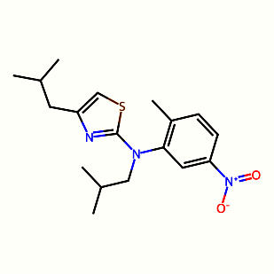 Cc1ccc([N+](=O)[O-])cc1N(CC(C)C)c1nc(CC(C)C)cs1